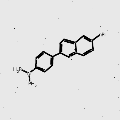 CCCc1ccc2cc(-c3ccc(N(P)P)cc3)ccc2c1